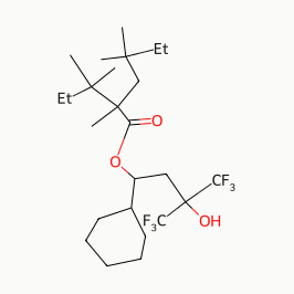 CCC(C)(C)CC(C)(C(=O)OC(CC(O)(C(F)(F)F)C(F)(F)F)C1CCCCC1)C(C)(C)CC